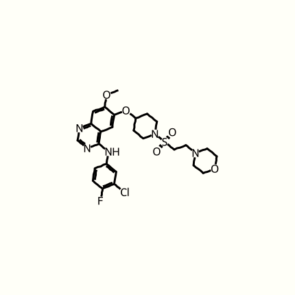 COc1cc2ncnc(Nc3ccc(F)c(Cl)c3)c2cc1OC1CCN(S(=O)(=O)CCN2CCOCC2)CC1